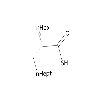 CCCCCCCC[C@H](CCCCCC)C(=O)S